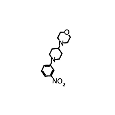 O=[N+]([O-])c1cccc(N2CCC(N3CCOCC3)CC2)c1